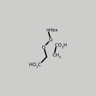 CC(=O)O.CCCCCCOOCC(=O)O